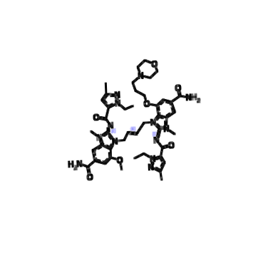 CCn1nc(C)cc1C(=O)/N=c1\n(C)c2cc(C(N)=O)cc(OC)c2n1C/C=C/Cn1/c(=N/C(=O)c2cc(C)nn2CC)n(C)c2cc(C(N)=O)cc(OCCCN3CCOCC3)c21